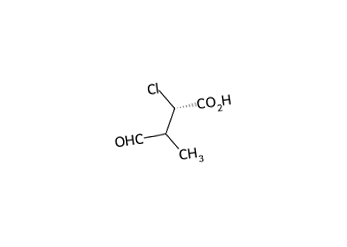 CC(C=O)[C@H](Cl)C(=O)O